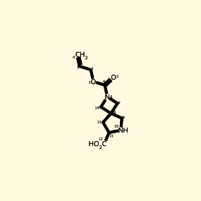 C=CCOC(=O)N1CC2(CNC(C(=O)O)C2)C1